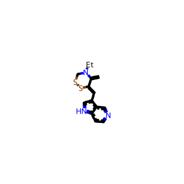 C=C1/C(=C/c2c[nH]c3ccncc23)SSCN1CC